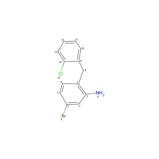 Nc1cc(Br)ccc1Cc1ccccc1Cl